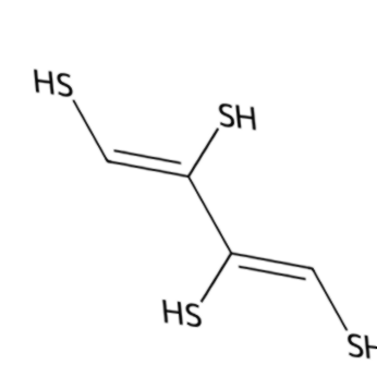 SC=C(S)C(S)=CS